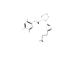 Nc1cc(F)c(CC(=O)N2CC[C@H](O)[C@H]2c2ncc(CCC(=O)O)s2)cc1Cl